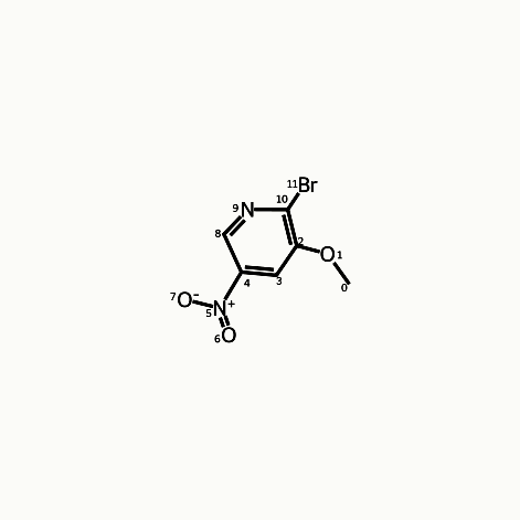 COc1cc([N+](=O)[O-])cnc1Br